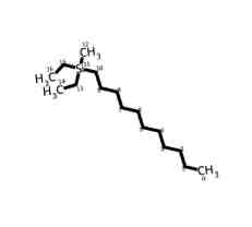 CCCCCCCCCCC[Si](C)(CC)CC